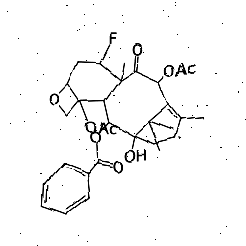 CC(=O)OC1C(=O)C2(C)C(F)CC3OCC3(OC(C)=O)C2C(OC(=O)c2ccccc2)C2(O)C[CH]C(C)=C1C2(C)C